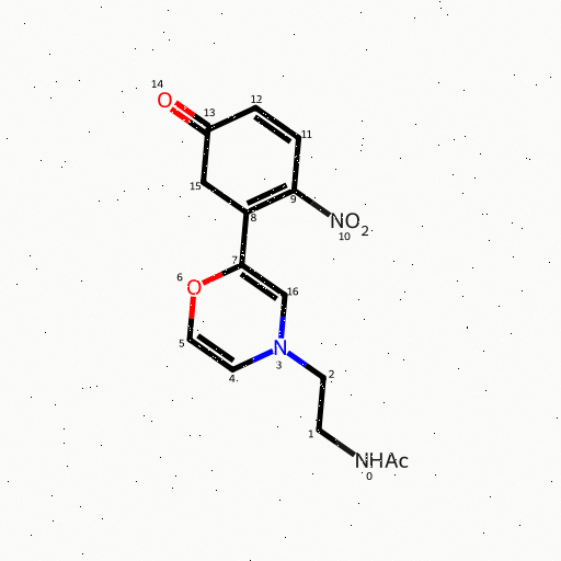 CC(=O)NCCN1C=COC(C2=C([N+](=O)[O-])C=CC(=O)C2)=C1